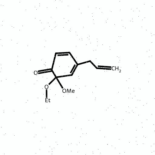 C=CCC1=CC(OC)(OCC)C(=O)C=C1